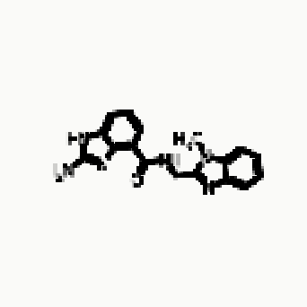 Cn1c(CNC(=O)c2cccc3[nH]c(N)nc23)nc2ccccc21